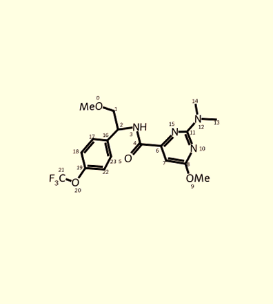 COCC(NC(=O)c1cc(OC)nc(N(C)C)n1)c1ccc(OC(F)(F)F)cc1